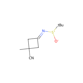 CC1(C#N)CC(=N[S+]([O-])C(C)(C)C)C1